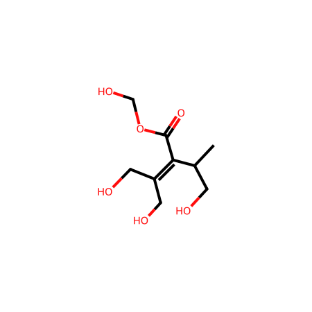 CC(CO)C(C(=O)OCO)=C(CO)CO